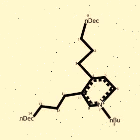 CCCCCCCCCCCCCc1cc[n+](CCCC)cc1CCCCCCCCCCCCC